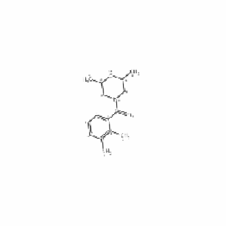 Cc1c(N)cccc1C(=O)N1CC(C)OC(C)C1